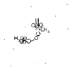 CC(=C1SC(=O)NC1=O)c1ccc(OCCc2ccc(OS(C)(=O)=O)cc2)cc1